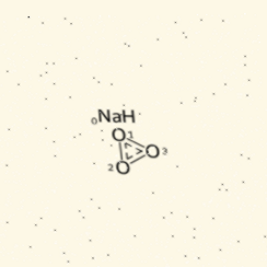 [NaH].o1oo1